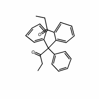 CCC(=O)c1ccccc1C(C(=O)CC)(c1ccccc1)c1ccccc1